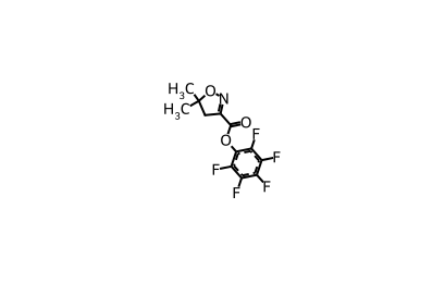 CC1(C)CC(C(=O)Oc2c(F)c(F)c(F)c(F)c2F)=NO1